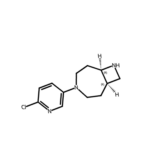 Clc1ccc(N2CC[C@@H]3CN[C@@H]3CC2)cn1